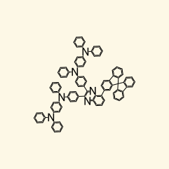 c1ccc(N(c2ccccc2)c2ccc(N(c3ccccc3)c3ccc(-c4nc5cccc(-c6ccc7c(c6)C6(c8ccccc8-c8ccccc86)c6ccccc6-7)c5nc4-c4ccc(N(c5ccccc5)c5ccc(N(c6ccccc6)c6ccccc6)cc5)cc4)cc3)cc2)cc1